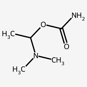 CC(OC(N)=O)N(C)C